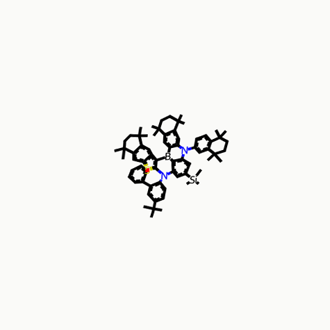 CC(C)(C)c1ccc(N2c3cc([Si](C)(C)C)cc4c3B(c3cc5c(cc3N4c3ccc4c(c3)C(C)(C)CCC4(C)C)C(C)(C)CCC5(C)C)c3c2sc2cc4c(cc32)C(C)(C)CCC4(C)C)c(-c2ccccc2)c1